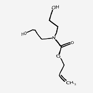 C=CCOC(=O)N(CCO)CCO